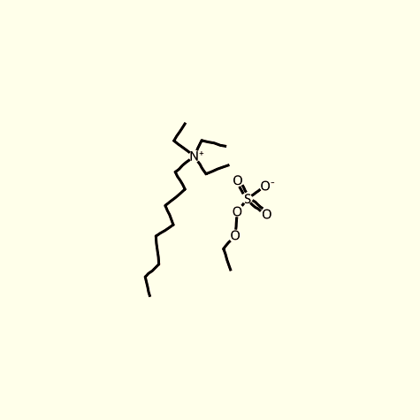 CCCCCCCC[N+](CC)(CC)CC.CCOOS(=O)(=O)[O-]